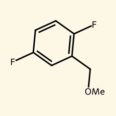 COCc1cc(F)ccc1F